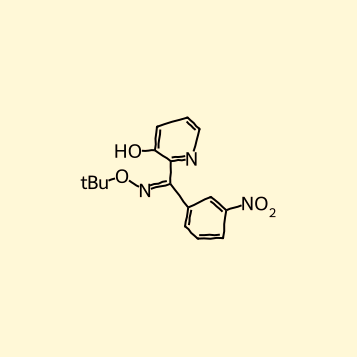 CC(C)(C)O/N=C(/c1cccc([N+](=O)[O-])c1)c1ncccc1O